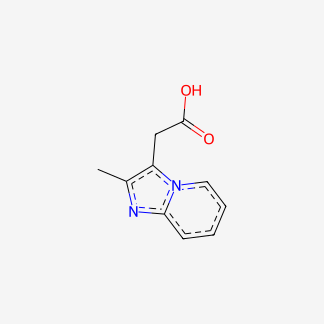 Cc1nc2ccccn2c1CC(=O)O